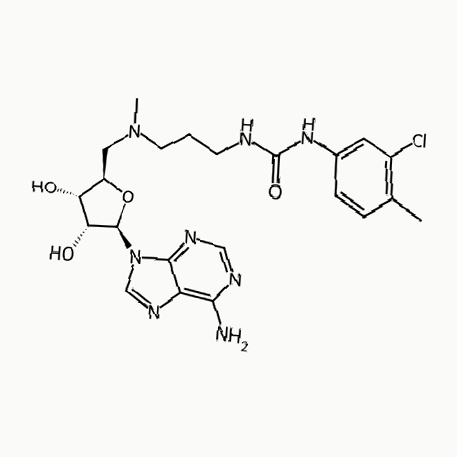 Cc1ccc(NC(=O)NCCCN(C)C[C@H]2O[C@@H](n3cnc4c(N)ncnc43)[C@H](O)[C@@H]2O)cc1Cl